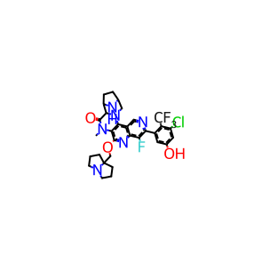 CN1C(=O)C2C3CCC(CN2c2c1c(OCC14CCCN1CCC4)nc1c(F)c(-c4cc(O)cc(Cl)c4C(F)(F)F)ncc21)N3